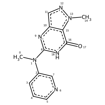 CN(c1cccnc1)c1nc2cnn(C)c2c(=O)[nH]1